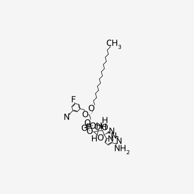 CCCCCCCCCCCCCCCCCCOC[C@H](COP(=O)(O)OC1[C@H]2O[C@@](C#N)(c3ccc4c(N)ncnn34)[C@H](O)[C@@]12O)OCc1cc(F)cc(C#N)c1